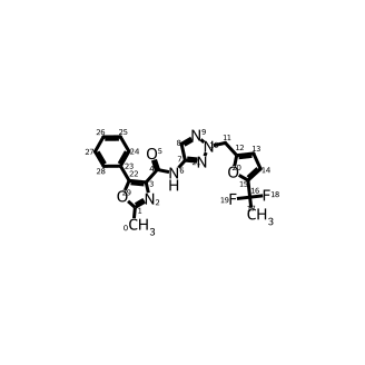 Cc1nc(C(=O)Nc2cnn(Cc3ccc(C(C)(F)F)o3)n2)c(-c2ccccc2)o1